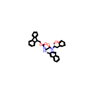 O=C(N[C@@H](Cc1ccc2ccccc2c1)C(=O)N[C@H](CO)Cc1ccccc1)OCC1c2ccccc2-c2ccccc21